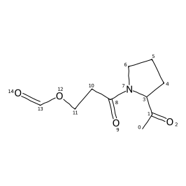 CC(=O)C1CCCN1C(=O)CCOC=O